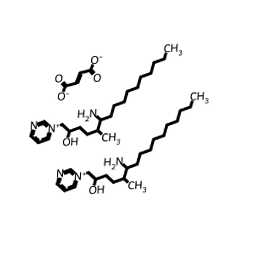 CCCCCCCCCCC(N)C(C)CCC(O)C[n+]1cccnc1.CCCCCCCCCCC(N)C(C)CCC(O)C[n+]1cccnc1.O=C([O-])C=CC(=O)[O-]